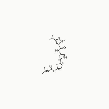 CC(C)NC(=O)O[C@@H]1CC[C@H]([C@@H]2CC(NC(=O)c3cc(C(C)C)nn3C)=NN2)C1